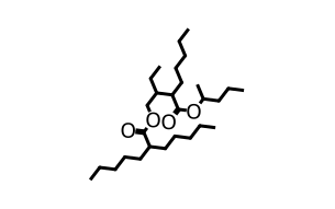 CCCCCC(CCCCC)C(=O)OCC(CC)C(CCCCC)C(=O)OC(C)CCC